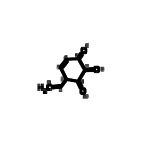 C=CC1C=CC(=O)C(=O)C1=O